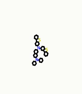 c1ccc(N(c2ccccc2)c2ccc3ccc(N(c4ccc5c(c4)sc4ccccc45)c4ccc5sc6ccccc6c5c4)cc3c2)cc1